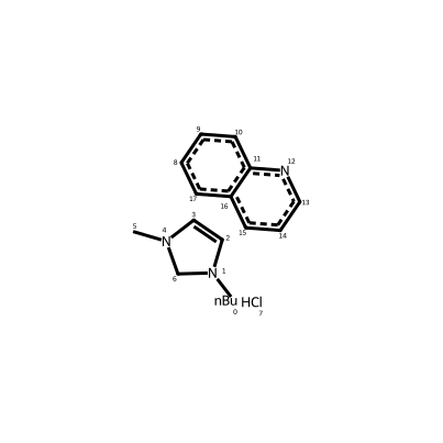 CCCCN1C=CN(C)C1.Cl.c1ccc2ncccc2c1